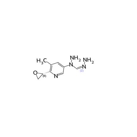 Cc1cc(N(N)/C=N\N)cnc1[C@@H]1CO1